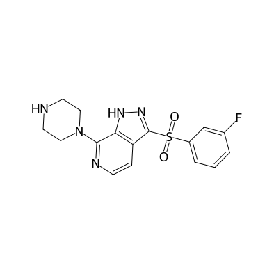 O=S(=O)(c1cccc(F)c1)c1n[nH]c2c(N3CCNCC3)nccc12